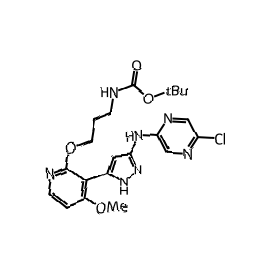 COc1ccnc(OCCCNC(=O)OC(C)(C)C)c1-c1cc(Nc2cnc(Cl)cn2)n[nH]1